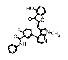 Cn1cc(/C=C2\Oc3cccc(O)c3C2=O)c2c(-c3ccc(F)c(C(=O)Nc4ccccc4)c3)ccnc21